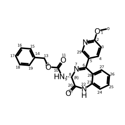 COc1ccc(C2=N[C@@H](NC(=O)OCc3ccccc3)C(=O)Nc3ccccc32)cn1